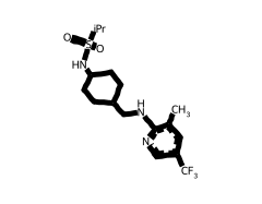 Cc1cc(C(F)(F)F)cnc1NCC1CCC(NS(=O)(=O)C(C)C)CC1